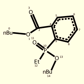 CCCCOC(=O)c1ccccc1P(=O)(CC)OCCCC